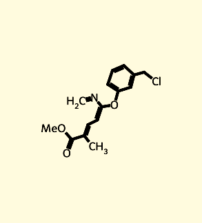 C=N/C(=C\C=C(/C)C(=O)OC)Oc1cccc(CCl)c1